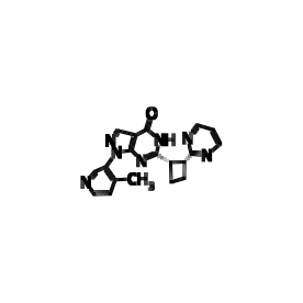 Cc1ccncc1-n1ncc2c(=O)[nH]c([C@H]3CC[C@H]3c3ncccn3)nc21